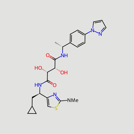 CNc1nc([C@@H](CC2CC2)NC(=O)[C@H](O)[C@@H](O)C(=O)N[C@H](C)c2ccc(-n3cccn3)cc2)cs1